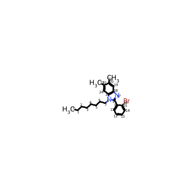 CCCCCCCCn1c(-c2ccccc2Br)nc2cc(C)c(C)cc21